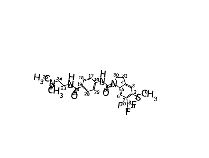 CSc1cc2c(cc1C(F)(F)F)N(C(=O)Nc1ccc(C(=O)NCCN(C)C)cc1)CC2